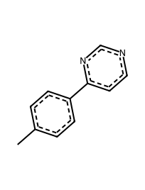 Cc1ccc(-c2ccncn2)cc1